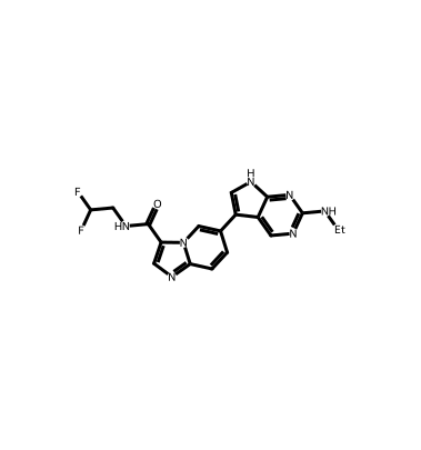 CCNc1ncc2c(-c3ccc4ncc(C(=O)NCC(F)F)n4c3)c[nH]c2n1